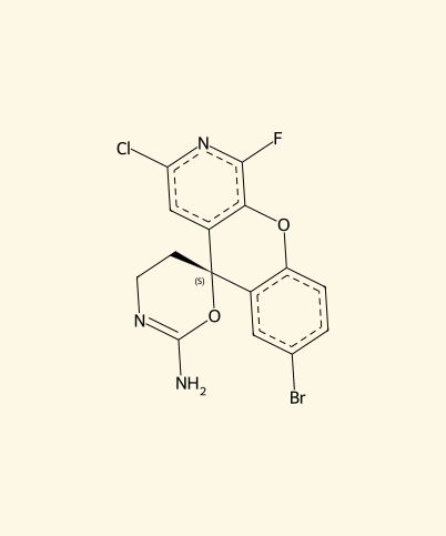 NC1=NCC[C@]2(O1)c1cc(Br)ccc1Oc1c2cc(Cl)nc1F